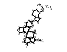 C[C@@H](O)CN1CCCC2C1CCN2c1ncc2c3c(c(-c4ncc(F)c5sc(N)c(C#N)c45)c(F)c2n1)COC3